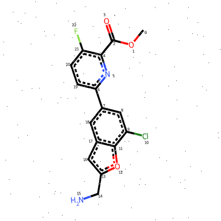 COC(=O)c1nc(-c2cc(Cl)c3oc(CN)cc3c2)ccc1F